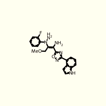 COC/C(=C(/N)c1nc(-c2cccc3[nH]ccc23)no1)N(N)c1ccccc1F